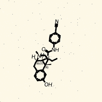 CCN(C(=O)Nc1ccc(C#N)cc1)[C@@H]1[C@H]2Cc3ccc(O)cc3[C@@]1(C)CCN2C